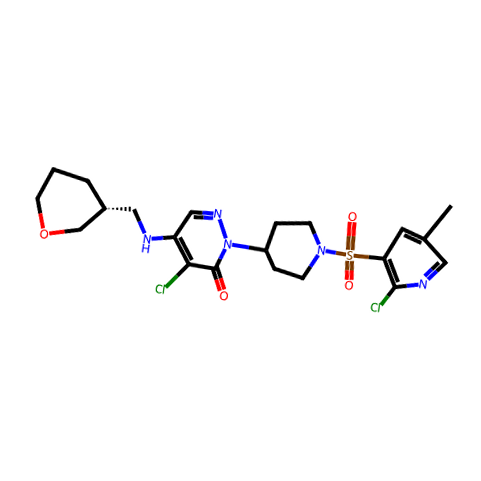 Cc1cnc(Cl)c(S(=O)(=O)N2CCC(n3ncc(NC[C@H]4CCCOC4)c(Cl)c3=O)CC2)c1